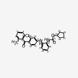 Cc1ccccc1C(=O)c1ccc(Nc2ccccc2NC(=O)OC2CCCC2)cc1Cl